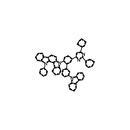 c1ccc(-c2cc(-c3ccc(-n4c5ccccc5c5c4ccc4c6ccccc6n(-c6ccccc6)c45)c(-c4cccc(-n5c6ccccc6c6ccccc65)c4)c3)nc(-c3ccccc3)n2)cc1